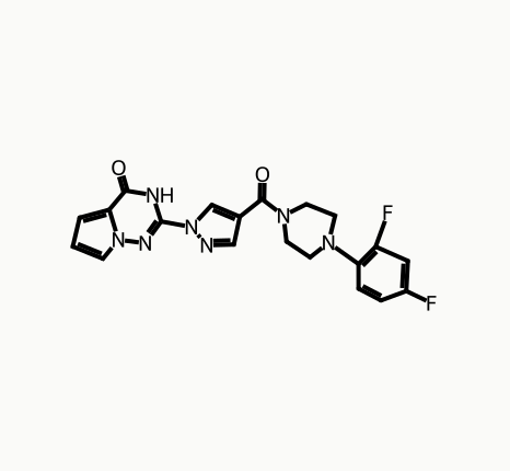 O=C(c1cnn(-c2nn3cccc3c(=O)[nH]2)c1)N1CCN(c2ccc(F)cc2F)CC1